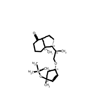 C[C@@H](CO[C@@H]1C=C[C@](C)(O[Si](C)(C)C)C1)[C@H]1CCC2C(=O)CCC[C@@]21C